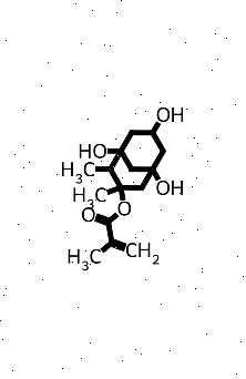 C=C(C)C(=O)OC1(C)CC2(O)CC(O)CC(O)(C2)C1C